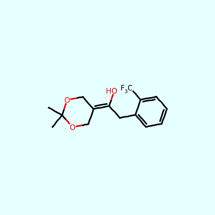 CC1(C)OCC(=C(O)Cc2ccccc2C(F)(F)F)CO1